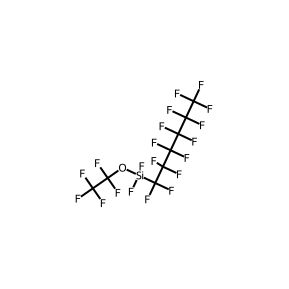 FC(F)(F)C(F)(F)O[Si](F)(F)C(F)(F)C(F)(F)C(F)(F)C(F)(F)C(F)(F)C(F)(F)F